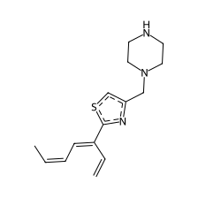 C=C/C(=C\C=C/C)c1nc(CN2CCNCC2)cs1